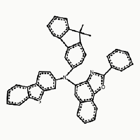 CC1(C)c2ccccc2-c2cc(N(c3ccc4c(c3)sc3ccccc34)c3cc4ccccc4c4oc(-c5ccccc5)nc34)ccc21